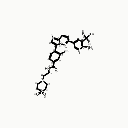 Nc1ncc(-c2ccc3ncc(-c4ccc(C(=O)NCCN5CCS(=O)(=O)CC5)cc4F)n3n2)cc1C(F)(F)F